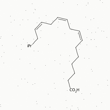 CC(C)C/C=C\C/C=C\C/C=C\CCCCCC(=O)O